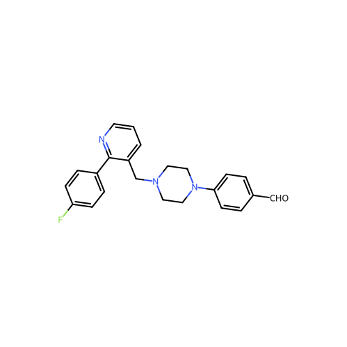 O=Cc1ccc(N2CCN(Cc3cccnc3-c3ccc(F)cc3)CC2)cc1